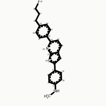 CNc1ccc(-c2cc3ccc(-c4ccc(CCCF)cc4)nc3s2)cc1